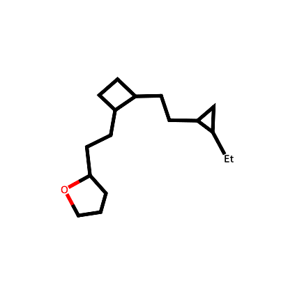 CCC1CC1CCC1CCC1CCC1CCCO1